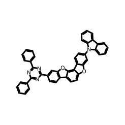 c1ccc(-c2nc(-c3ccccc3)nc(-c3ccc4c(c3)oc3c4ccc4oc5cc(-n6c7ccccc7c7ccccc76)ccc5c43)n2)cc1